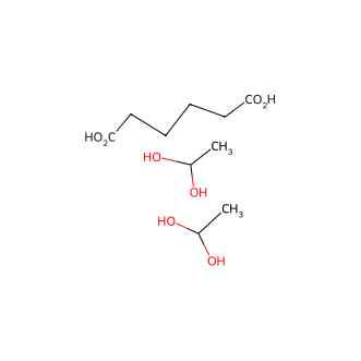 CC(O)O.CC(O)O.O=C(O)CCCCC(=O)O